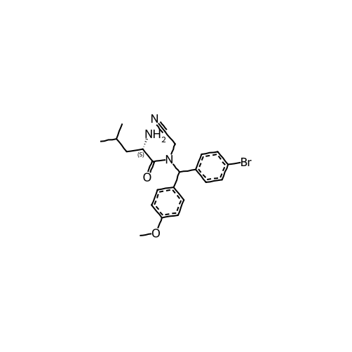 COc1ccc(C(c2ccc(Br)cc2)N(CC#N)C(=O)[C@@H](N)CC(C)C)cc1